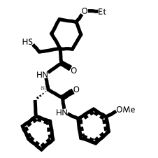 CCOC1CCC(CS)(C(=O)N[C@@H](Cc2ccccc2)C(=O)Nc2cccc(OC)c2)CC1